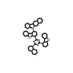 c1ccc2cc3c(cc2c1)c1ccccc1n3-c1ccc(-c2nc(-c3cccc4ccccc34)nc(-c3cccc4oc5ccccc5c34)n2)c2oc3ccccc3c12